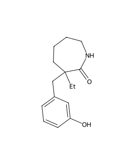 CCC1(Cc2cccc(O)c2)CCCCNC1=O